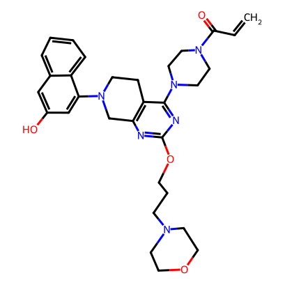 C=CC(=O)N1CCN(c2nc(OCCCN3CCOCC3)nc3c2CCN(c2cc(O)cc4ccccc24)C3)CC1